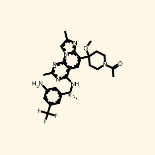 COC1(c2cc3c(N[C@H](C)c4cc(N)cc(C(F)(F)F)c4)nc(C)nc3n3cc(C)nc23)CCN(C(C)=O)CC1